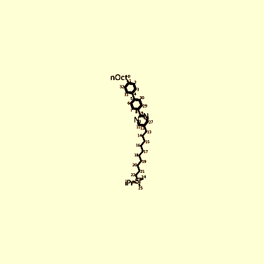 CCCCCCCCc1ccc(-c2ccc(-c3ncc(CCCCCCCCCC[Si](C)(C)C(C)C)cn3)cc2)cc1